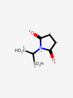 O=C(O)C(N1C(=O)CCC1=O)S(=O)(=O)O